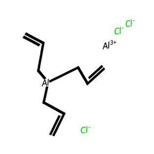 C=C[CH2][Al]([CH2]C=C)[CH2]C=C.[Al+3].[Cl-].[Cl-].[Cl-]